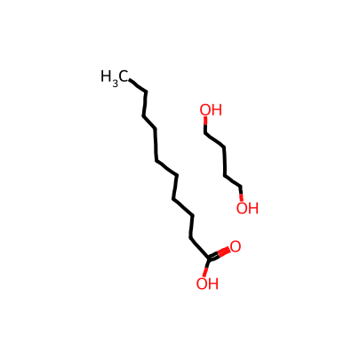 CCCCCCCCCC(=O)O.OCCCCO